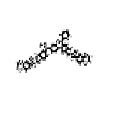 O=S(=O)(c1ccc2c(c1)OCCO2)N1Cc2cnc([C@@H](O)c3cccc(O[C@H](c4ccccc4)c4cc5c(cn4)CN(S(=O)(=O)c4ccc6c(c4)OCCO6)C5)c3)cc2C1